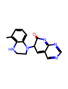 Cc1cccc2c1NCCN2C1C=c2cncnc2=NC1=O